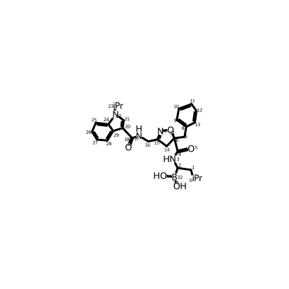 CC(C)CC(NC(=O)C1(Cc2ccccc2)CC(CNC(=O)c2cn(C(C)C)c3ccccc23)=NO1)B(O)O